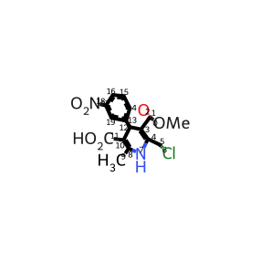 COC(=O)C1=C(CCl)NC(C)=C(C(=O)O)C1c1cccc([N+](=O)[O-])c1